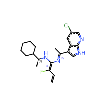 C=C/C(F)=C(\N=C(/C)c1c[nH]c2ncc(Cl)cc12)N[C@@H](C)C1CCCCC1